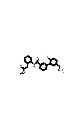 COC(=O)Cc1ccccc1NC(=O)c1cccc(-c2cc(CN)ccc2F)c1